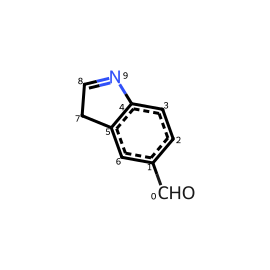 O=Cc1ccc2c(c1)CC=N2